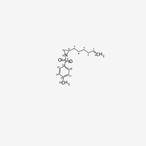 C=CCCCCC1CN1S(=O)(=O)c1ccc(C)cc1